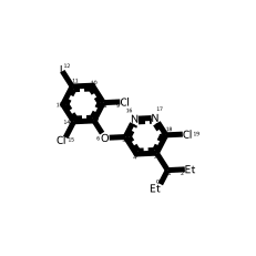 CCC(CC)c1cc(Oc2c(Cl)cc(I)cc2Cl)nnc1Cl